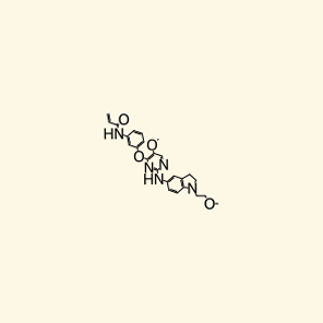 C=CC(=O)Nc1cccc(Oc2nc(Nc3ccc4c(c3)CCN4CCOC)ncc2OC)c1